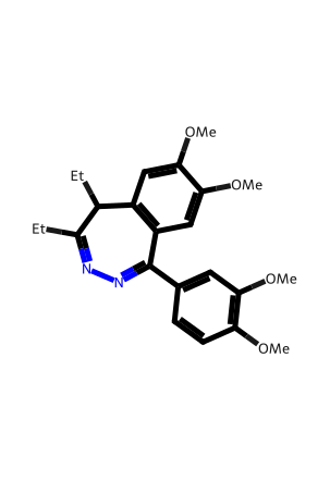 CCC1=NN=C(c2ccc(OC)c(OC)c2)c2cc(OC)c(OC)cc2C1CC